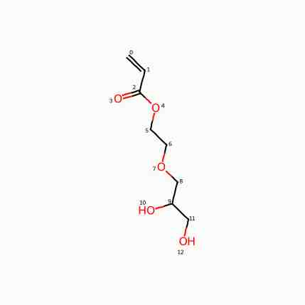 C=CC(=O)OCCOCC(O)CO